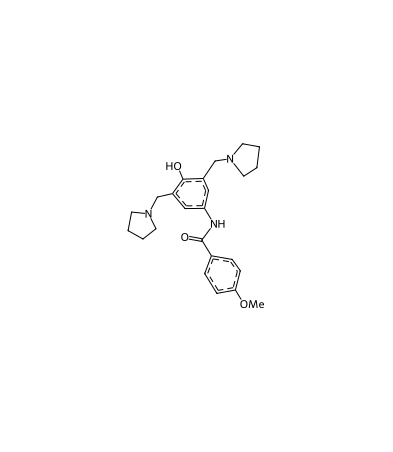 COc1ccc(C(=O)Nc2cc(CN3CCCC3)c(O)c(CN3CCCC3)c2)cc1